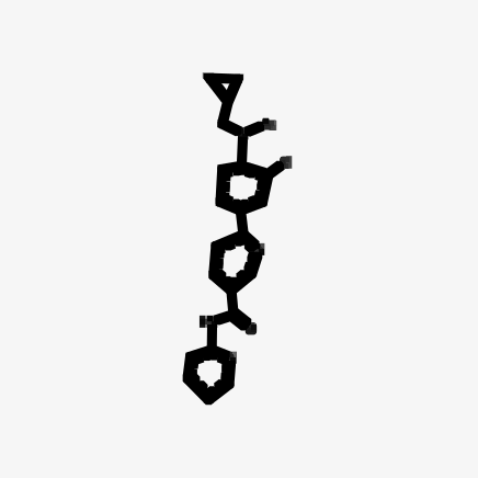 CC(=O)N(CC1CC1)c1ccc(-c2ccc(C(=O)Nc3ccccn3)cn2)cc1Cl